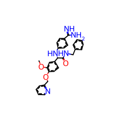 COc1cc([C@H](Nc2ccc(C(=N)N)cc2)C(=O)NCc2ccccc2)ccc1OCc1ccccn1